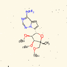 CCCCOC[C@@]1(C)O[C@@H](c2ccc3c(N)ncnn23)[C@H](OCCCC)[C@@H]1OCCCC